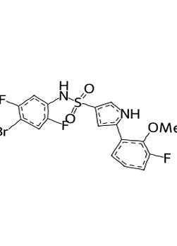 COc1c(F)cccc1-c1cc(S(=O)(=O)Nc2cc(F)c(Br)cc2F)c[nH]1